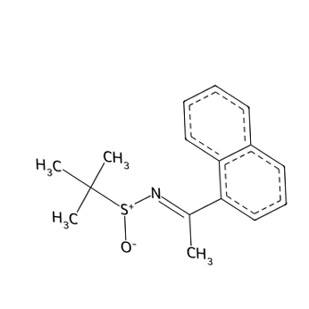 CC(=N[S+]([O-])C(C)(C)C)c1cccc2ccccc12